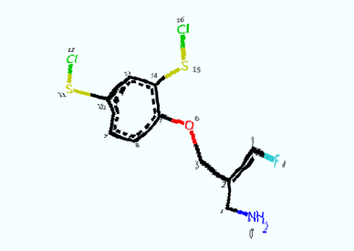 NCC(=CF)COc1ccc(SCl)cc1SCl